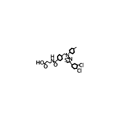 Cc1ccc(N(Cc2ccc(C(=O)NCCC(=O)O)cc2)c2nc(-c3ccc(Cl)c(Cl)c3)cs2)cc1